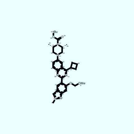 COCOc1cc2nn(C)cc2cc1-c1nc(C2CCC2)c2cc(N3C[C@@H](C)N(C(=O)OC(C)(C)C)[C@@H](C)C3)ccc2n1